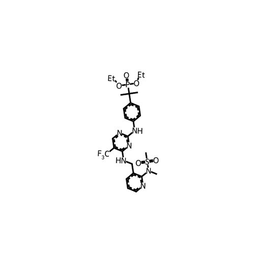 CCOP(=O)(OCC)C(C)(C)c1ccc(Nc2ncc(C(F)(F)F)c(NCc3cccnc3N(C)S(C)(=O)=O)n2)cc1